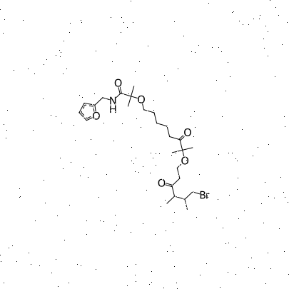 CC(CBr)C(C)C(=O)CCOC(C)(C)C(=O)CCCCCOC(C)(C)C(=O)NCc1ccco1